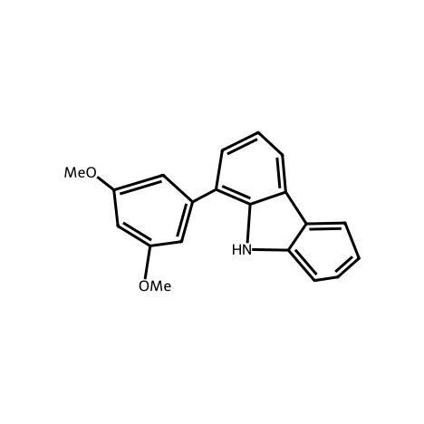 COc1cc(OC)cc(-c2cccc3c2[nH]c2ccccc23)c1